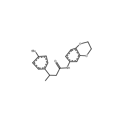 CC(CC(=O)Nc1ccc2c(c1)OCCO2)c1ccc(C(C)(C)C)cc1